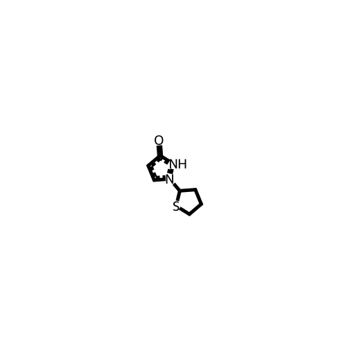 O=c1ccn(C2CCCS2)[nH]1